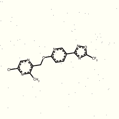 Cc1nc(Cl)cnc1COc1ccc(-c2noc(C(F)(F)F)n2)cn1